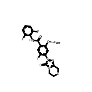 CCC[C@H](C)Oc1cc(-n2nc3n(c2=O)CCOC3)c(F)cc1C(=O)Nc1c(F)cccc1F